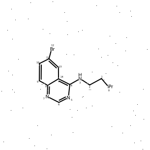 CC(C)CCNc1ncnc2ccc(Br)cc12